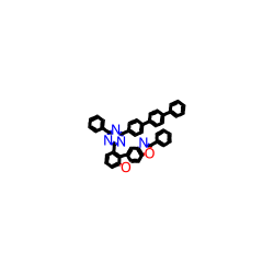 c1ccc(-c2ccc(-c3ccc(-c4nc(-c5ccccc5)nc(-c5cccc6oc7cc8oc(-c9ccccc9)nc8cc7c56)n4)cc3)cc2)cc1